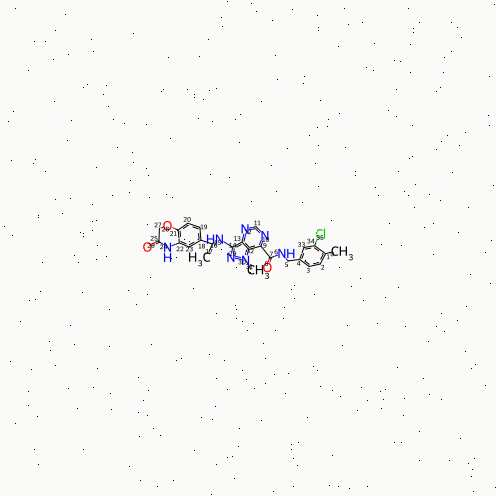 Cc1ccc(CNC(=O)c2ncnc3c(NC(C)c4ccc5c(c4)NC(=O)CO5)nn(C)c23)cc1Cl